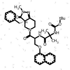 CN1N=C2CCN(C(=O)C(COc3cccc4ccccc34)NC(=O)C(C)(C)NC(=O)OC(C)(C)C)C[C@@]2(Cc2ccccc2)C1=O